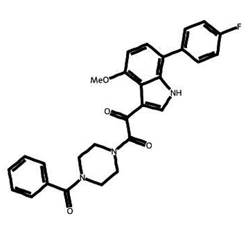 COc1ccc(-c2ccc(F)cc2)c2[nH]cc(C(=O)C(=O)N3CCN(C(=O)c4ccccc4)CC3)c12